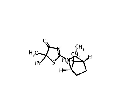 CC(C)C1(C)SC(N2[C@H](C)[C@@H]3CC[C@H]2C3(C)C)=NC1=O